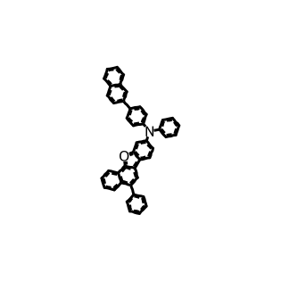 c1ccc(-c2cc3c4ccc(N(c5ccccc5)c5ccc(-c6ccc7ccccc7c6)cc5)cc4oc3c3ccccc23)cc1